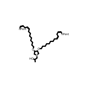 CCCCC/C=C\C/C=C\CCCCCCCCOC1CN(CC(C)O)C[C@H]1OCCCCCCCC/C=C\C/C=C\CCCCC